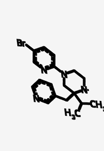 CC(C)C1(Cc2cccnc2)CN(c2ccc(Br)cn2)CC[N]1